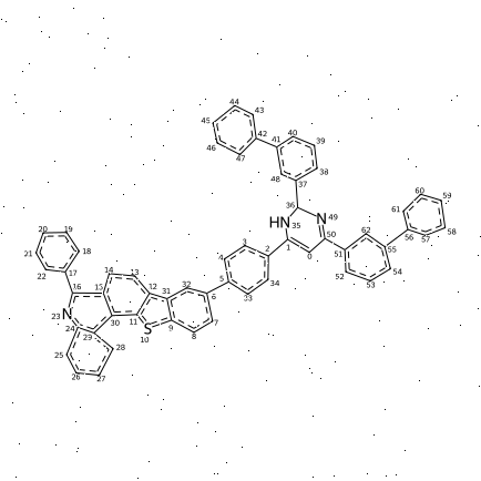 C1=C(c2ccc(-c3ccc4sc5c(ccc6c(-c7ccccc7)nc7ccccc7c65)c4c3)cc2)NC(c2cccc(-c3ccccc3)c2)N=C1c1cccc(-c2ccccc2)c1